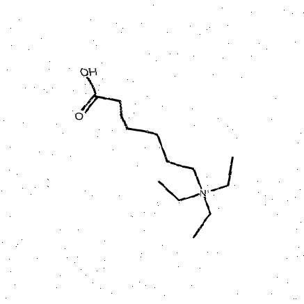 CC[N+](CC)(CC)CCCCCC(=O)O